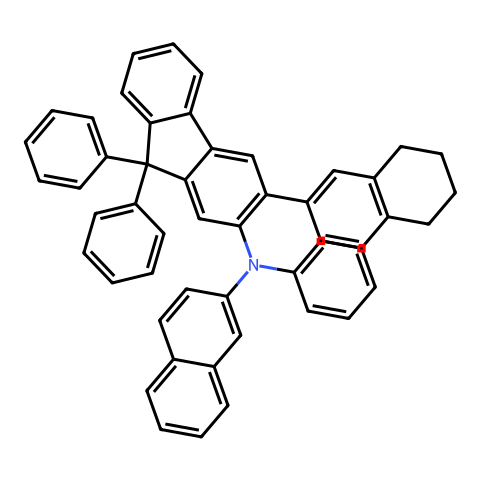 c1ccc(N(c2ccc3ccccc3c2)c2cc3c(cc2-c2ccc4c(c2)CCCC4)-c2ccccc2C3(c2ccccc2)c2ccccc2)cc1